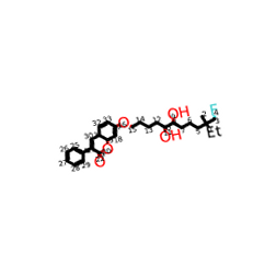 CCC(C)(CF)CCCC(O)C(O)CCCCOC1=CC2OC(=O)C(c3ccccc3)=CC2C=C1